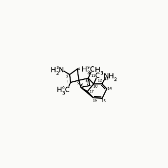 CC1C(N)CC12C13CC2(C)C2(C)C(N)=CC=C1C23